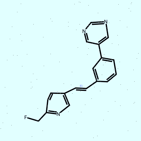 FCc1ccc(/C=C/c2cccc(-c3cncnc3)c2)cn1